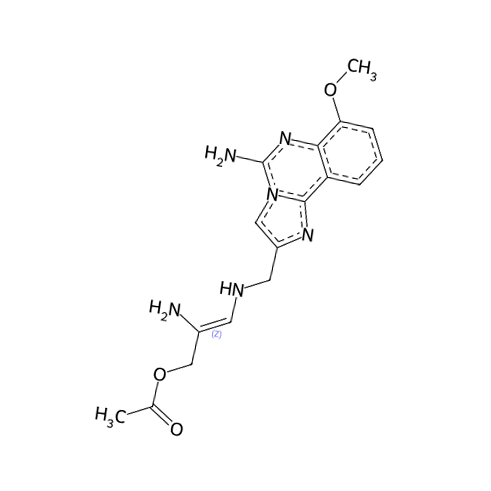 COc1cccc2c1nc(N)n1cc(CN/C=C(\N)COC(C)=O)nc21